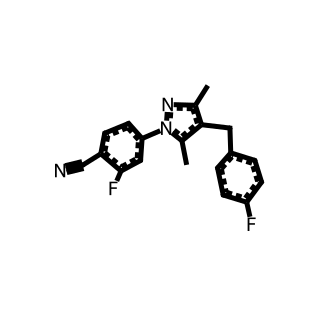 Cc1nn(-c2ccc(C#N)c(F)c2)c(C)c1Cc1ccc(F)cc1